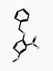 COc1ccc(OCc2ccccc2)c([N+](=O)[O-])c1